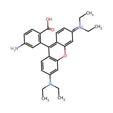 CCN(CC)c1ccc2c(-c3cc(N)ccc3C(=O)O)c3ccc(=[N+](CC)CC)cc-3oc2c1